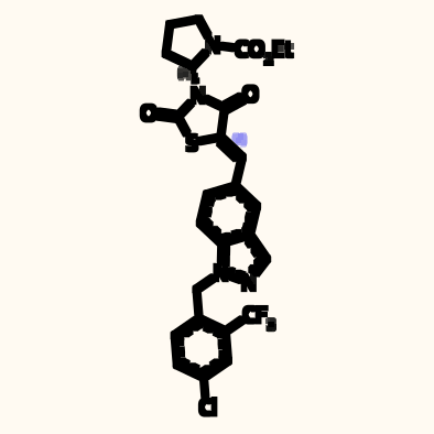 CCOC(=O)N1CCC[C@H]1N1C(=O)S/C(=C\c2ccc3c(cnn3Cc3ccc(Cl)cc3C(F)(F)F)c2)C1=O